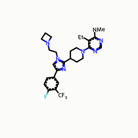 CCc1c(NC)ncnc1N1CCC(c2nc(-c3ccc(F)c(C(F)(F)F)c3)cn2CCN2CCC2)CC1